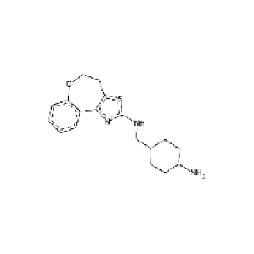 NC1CCC(CNc2nc3c(s2)CCOc2ccccc2-3)CC1